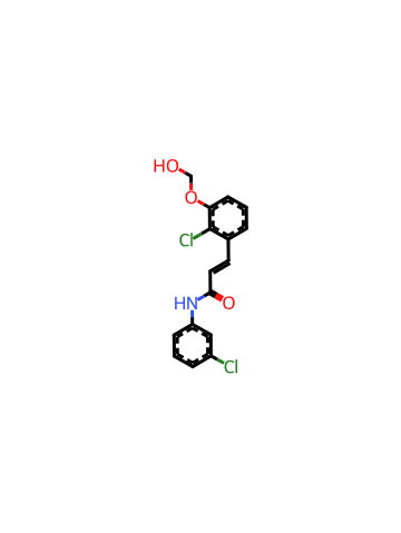 O=C(/C=C/c1cccc(OCO)c1Cl)Nc1cccc(Cl)c1